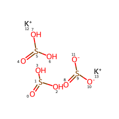 O=S(O)O.O=S(O)O.O=S([O-])[O-].[K+].[K+]